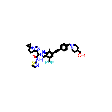 Cc1c(C#Cc2ccc(CN3CCC(CO)CC3)cc2)cc(C(F)F)c2cn(C(C(=O)Nc3nccs3)c3ncn4c3CCC43CC3)nc12